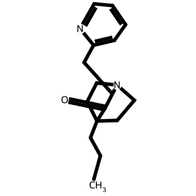 CCCC12CCN(CC1)C(Cc1ccccn1)C2=O